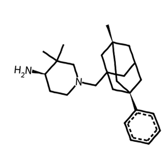 CC1(C)CN(CC23CC4C[C@@](C)(C2)C[C@](c2ccccc2)(C4)C3)CC[C@H]1N